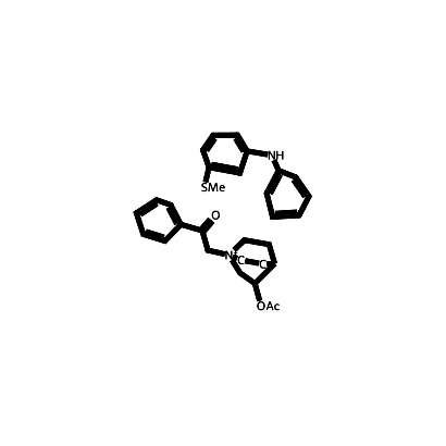 CC(=O)OC1C[N+]2(CC(=O)c3ccccc3)CCC1CC2.CSc1cccc(Nc2ccccc2)c1